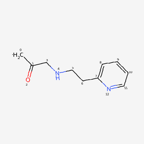 [CH2]C(=O)CNCCc1ccccn1